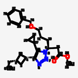 CC(C)(C)C[C@H]1C[C@@H](c2nnn([C@@H](CCCOCc3ccccc3)CC(=O)OC(C)(C)C)c2C2CC2)C1